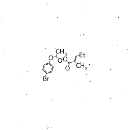 CCC=C(C)C(=O)OOC(C)Oc1ccc(Br)cc1